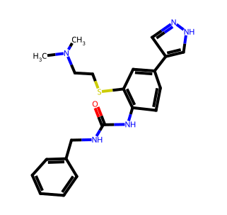 CN(C)CCSc1cc(-c2cn[nH]c2)ccc1NC(=O)NCc1ccccc1